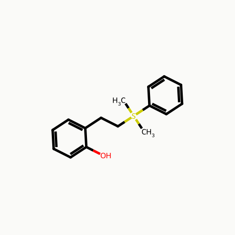 CS(C)(CCc1ccccc1O)c1ccccc1